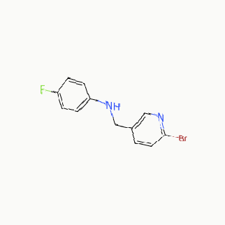 Fc1ccc(NCc2ccc(Br)nc2)cc1